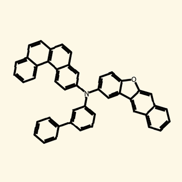 c1ccc(-c2cccc(N(c3ccc4c(ccc5ccc6ccccc6c54)c3)c3ccc4oc5cc6ccccc6cc5c4c3)c2)cc1